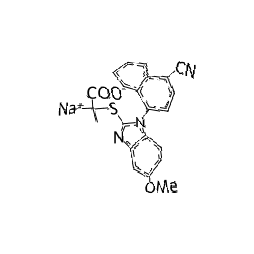 COc1ccc2c(c1)nc(SC(C)(C)C(=O)[O-])n2-c1ccc(C#N)c2ccccc12.[Na+]